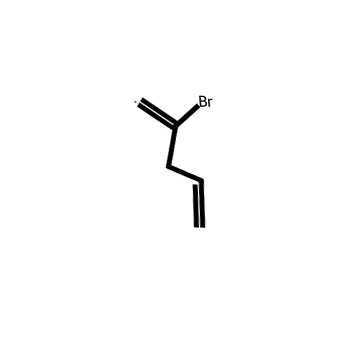 [CH]=C(Br)CC=C